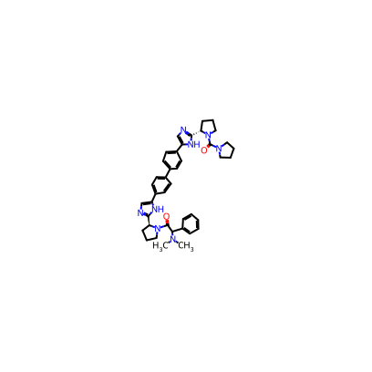 CN(C)C(C(=O)N1CCC[C@H]1c1ncc(-c2ccc(-c3ccc(-c4cnc([C@@H]5CCCN5C(=O)N5CCCC5)[nH]4)cc3)cc2)[nH]1)c1ccccc1